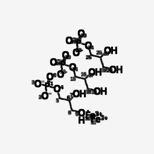 O=P([O-])([O-])OCC(O)CO.O=P([O-])([O-])OCC(O)CO.O=P([O-])([O-])OCC(O)CO.[Fe+3].[Fe+3]